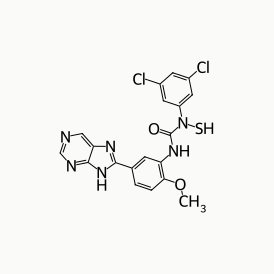 COc1ccc(-c2nc3cncnc3[nH]2)cc1NC(=O)N(S)c1cc(Cl)cc(Cl)c1